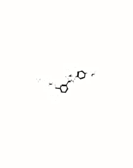 COC(=O)NCc1cc(-c2ncn(-c3ccc(OC(F)F)cc3C)n2)ccc1C